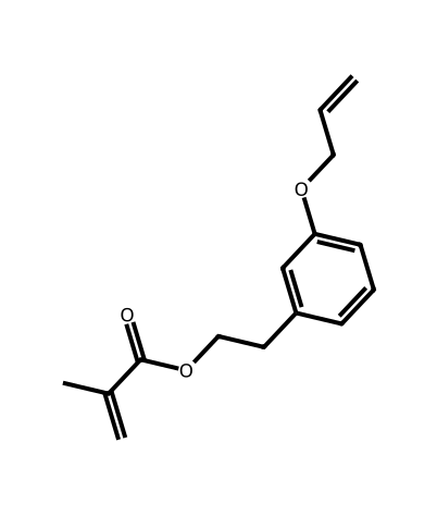 C=CCOc1cccc(CCOC(=O)C(=C)C)c1